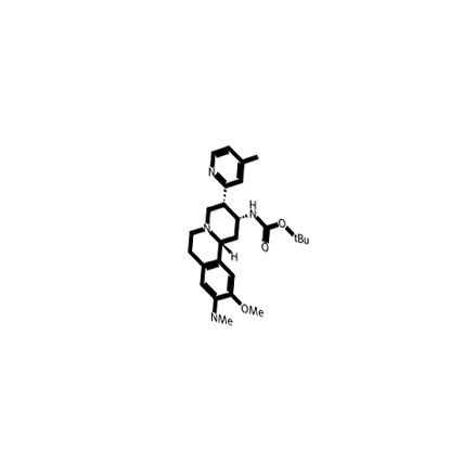 CNc1cc2c(cc1OC)[C@H]1C[C@@H](NC(=O)OC(C)(C)C)[C@@H](c3cc(C)ccn3)CN1CC2